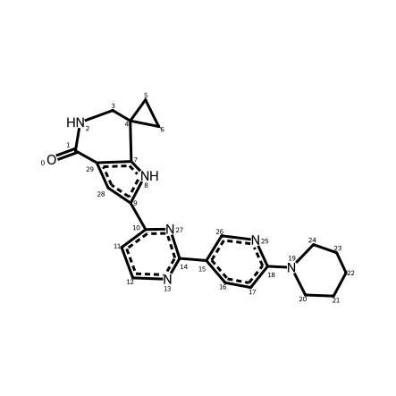 O=C1NCC2(CC2)c2[nH]c(-c3ccnc(-c4ccc(N5CCCCC5)nc4)n3)cc21